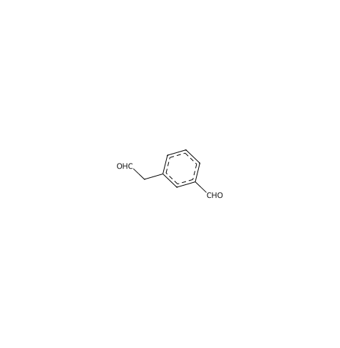 O=CCc1cccc(C=O)c1